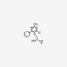 Cc1nc(Cl)c(OCC(O)C2CC2)c(N2CCOCC2)n1